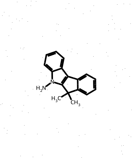 CC1(C)c2ccccc2-c2c1n(N)c1ccccc21